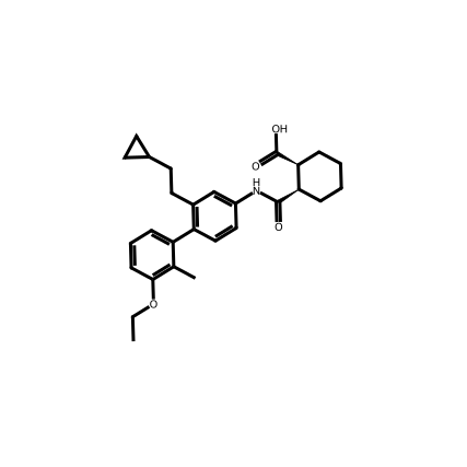 CCOc1cccc(-c2ccc(NC(=O)[C@@H]3CCCC[C@@H]3C(=O)O)cc2CCC2CC2)c1C